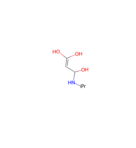 CC(C)NC(O)C=C(O)O